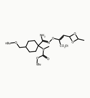 CCCCOCC1CCC(/C(N)=N/O/C(=C/C2OC(C)O2)C(=O)OCC)(N(C)C(=O)OC(C)(C)C)CC1